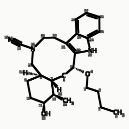 CCCCO[C@@H]1C[C@H]2[C@@H](CC[C@H](O)[C@@H]2C)CN(C#N)CCc2c1[nH]c1ccccc21